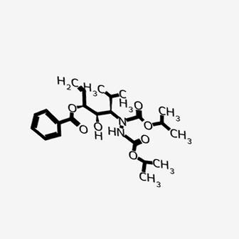 C=C[C@H](OC(=O)c1ccccc1)[C@H](O)[C@@H](C(C)C)N(NC(=O)OC(C)C)C(=O)OC(C)C